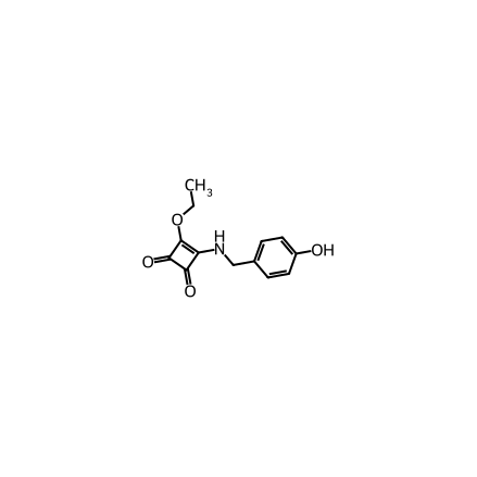 CCOc1c(NCc2ccc(O)cc2)c(=O)c1=O